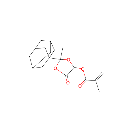 C=C(C)C(=O)OC1OC(C)(C23CC4CC(CC(C4)C2)C3)OC1=O